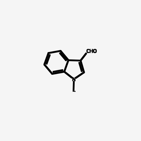 [CH2]n1cc(C=O)c2ccccc21